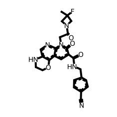 CC1(F)CN(C(=O)Cn2c(=O)c(C(=O)NCc3ccc(C#N)cc3)cc3c4c(cnc32)NCCO4)C1